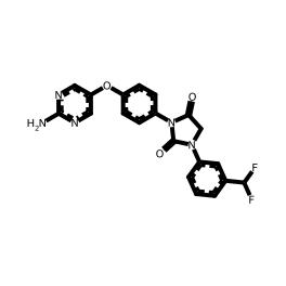 Nc1ncc(Oc2ccc(N3C(=O)CN(c4cccc(C(F)F)c4)C3=O)cc2)cn1